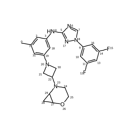 Cc1cc(Nc2ncn(-c3cc(F)cc(F)c3)n2)cc(N2CC(N3CCOC4CC43)C2)c1